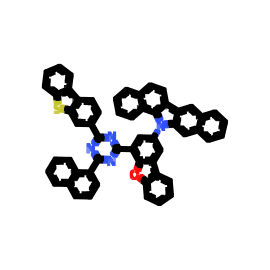 c1ccc2cc3c(cc2c1)c1ccc2ccccc2c1n3-c1cc(-c2nc(-c3ccc4c(c3)sc3ccccc34)nc(-c3cccc4ccccc34)n2)c2oc3ccccc3c2c1